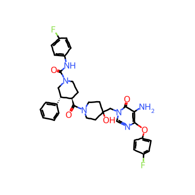 Nc1c(Oc2ccc(F)cc2)ncn(CC2(O)CCN(C(=O)[C@@H]3CCN(C(=O)Nc4ccc(F)cc4)C[C@H]3c3ccccc3)CC2)c1=O